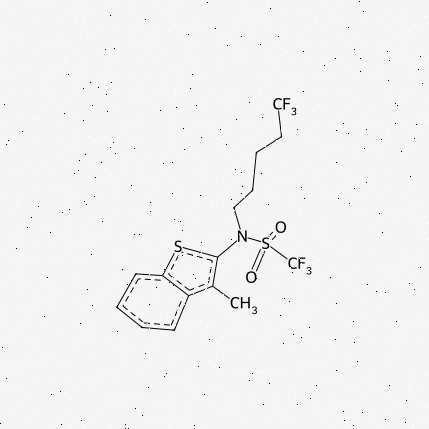 Cc1c(N(CCCCC(F)(F)F)S(=O)(=O)C(F)(F)F)sc2ccccc12